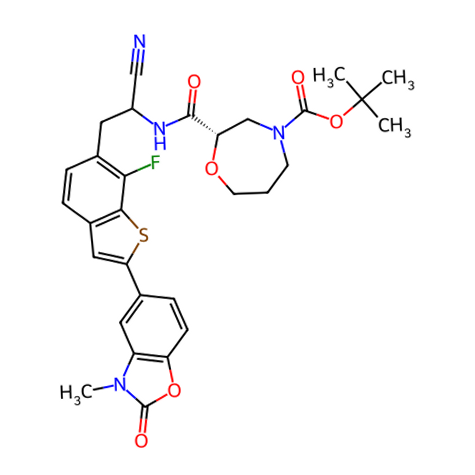 Cn1c(=O)oc2ccc(-c3cc4ccc(CC(C#N)NC(=O)[C@@H]5CN(C(=O)OC(C)(C)C)CCCO5)c(F)c4s3)cc21